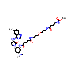 CC(C)N(C)[C@@H]1CC[C@H](N2CC[C@H](Nc3ncnc4ccc(C(F)(F)F)cc34)C2=O)[C@H](NC(=O)CCCC(=O)NCCCOCCCNC(=O)CCCNC(=O)OC(C)(C)C)C1